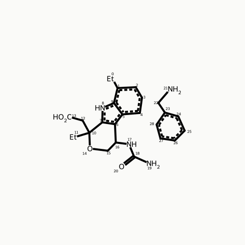 CCc1cccc2c3c([nH]c12)C(CC)(CC(=O)O)OCC3NC(N)=O.NCc1ccccc1